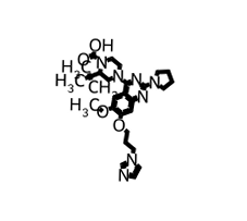 COc1cc2c(N3CCN(C(=O)O)C(C(C)(C)C)C3)nc(N3CCCC3)nc2cc1OCCCn1ccnc1